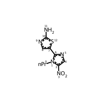 CCCn1c([N+](=O)[O-])cnc1-c1cnc(N)s1